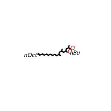 CCCCCCCCC=CCCCCCCCCC(C)CC(C)CC(C)CC(C)C(=O)OCCCC